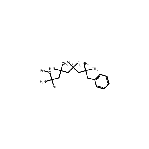 CC(C)OC(N)(N)CC(C)(N)CC(C)(N)CC(C)(N)Cc1ccccc1